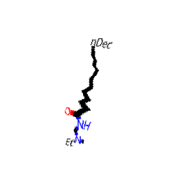 CCCCCCCCCCCCCCCCCCCCCC(=O)NCN(C)CC